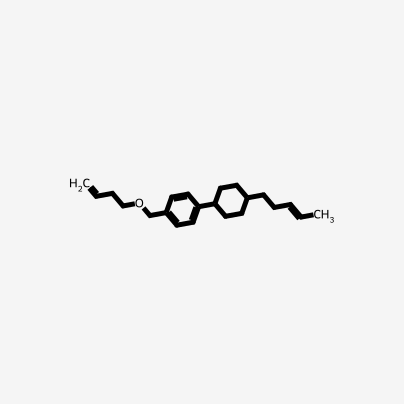 C=CCCOCc1ccc(C2CCC(CCC=CC)CC2)cc1